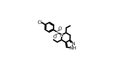 CCC1Cc2n[nH]cc2C(CC)N1S(=O)(=O)c1ccc(Cl)cc1